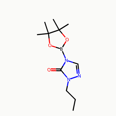 CCCn1ncn(B2OC(C)(C)C(C)(C)O2)c1=O